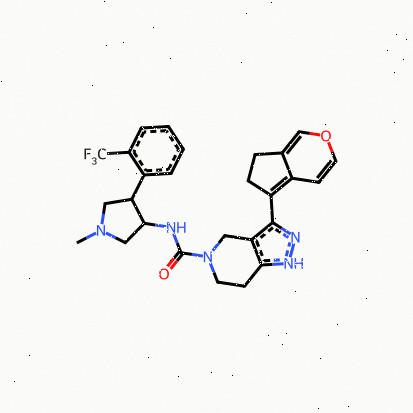 CN1CC(NC(=O)N2CCc3[nH]nc(C4=C5C=COC=C5CC4)c3C2)C(c2ccccc2C(F)(F)F)C1